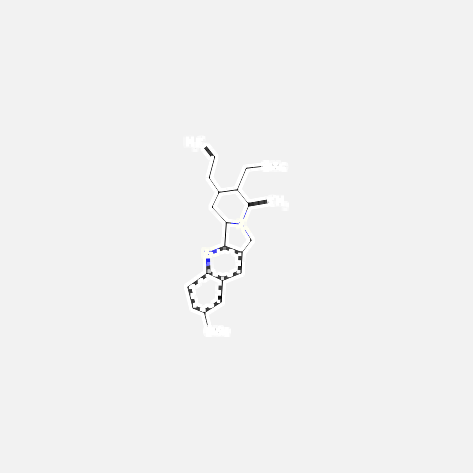 C=CCC1CC2c3nc4ccc(OC)cc4cc3CN2C(=C)C1COC